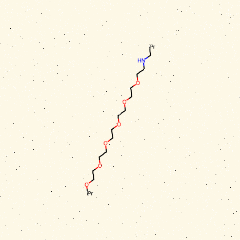 CC(C)CNCCOCCOCCOCCOCCOCCOC(C)C